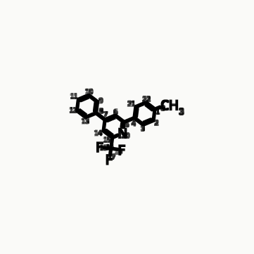 Cc1ccc(-c2cc(-c3ccccc3)cc(C(F)(F)F)n2)cc1